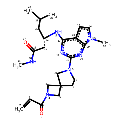 C=CC(=O)N1CC2(CCN(c3nc(N[C@H](CC(=O)NC)CC(C)C)c4ccn(C)c4n3)C2)C1